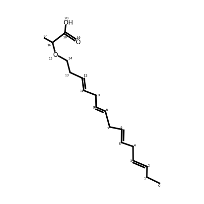 CCC=CCC=CCC=CCC=CCCOC(C)C(=O)O